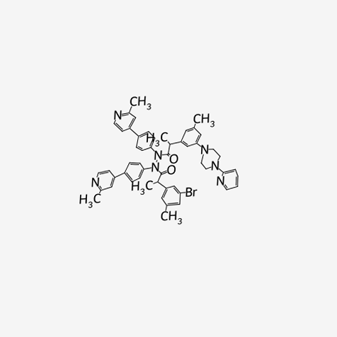 Cc1cc(Br)cc(C(C)C(=O)N(c2ccc(-c3ccnc(C)c3)cc2)N(C(=O)C(C)c2cc(C)cc(N3CCN(c4ccccn4)CC3)c2)c2ccc(-c3ccnc(C)c3)cc2)c1